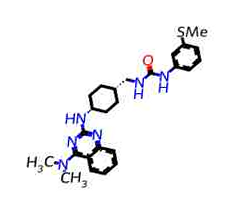 CSc1cccc(NC(=O)NC[C@H]2CC[C@@H](Nc3nc(N(C)C)c4ccccc4n3)CC2)c1